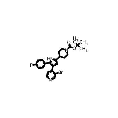 CC(C)(C)OC(=O)N1CCC(c2cc(-c3ccncc3Br)c(-c3ccc(F)cc3)[nH]2)CC1